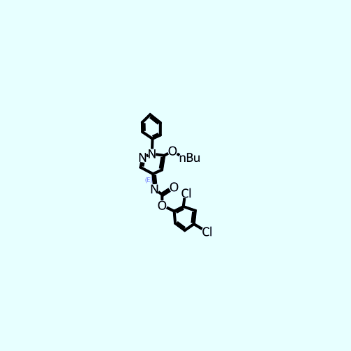 CCCCOc1c/c(=N\C(=O)Oc2ccc(Cl)cc2Cl)cnn1-c1ccccc1